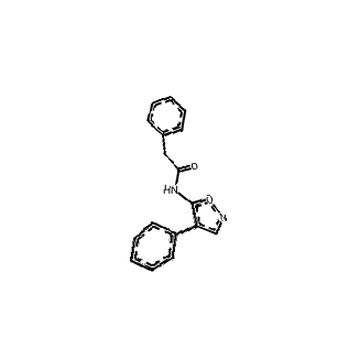 O=C(Cc1ccccc1)Nc1oncc1-c1ccccc1